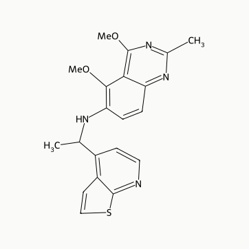 COc1nc(C)nc2ccc(NC(C)c3ccnc4sccc34)c(OC)c12